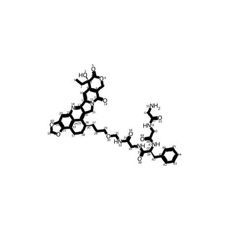 CC[C@@]1(O)C(=O)OCc2c1cc1n(c2=O)Cc2c-1nc1cc3c(c4c1c2[C@@H](CCCOCNC(=O)CNC(=O)[C@H](Cc1ccccc1)NC(=O)CNC(=O)CN)CC4)OCO3